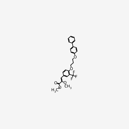 COC(=O)/C(=C/c1ccc(OCCCOc2ccc(-c3ccccc3)cc2)c(C(F)(F)F)c1)OC